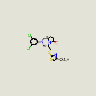 CC(=O)N(C[C@H]1CCC(=O)N1CCSc1nc(C(=O)O)cs1)c1cc(Cl)cc(Cl)c1